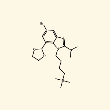 CN(C)c1nc2cc(Br)cc(C3OCCO3)c2n1COCC[Si](C)(C)C